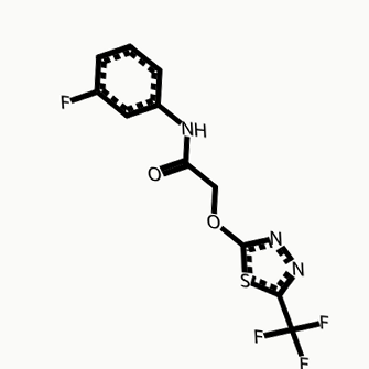 O=C(COc1nnc(C(F)(F)F)s1)Nc1cccc(F)c1